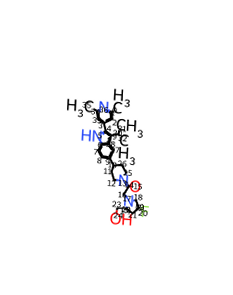 Cc1cc(-c2[nH]c3ccc(C4CCN(C(=O)CN5C[C@@H](F)C[C@H]5CO)CC4)cc3c2C(C)C)cc(C)n1